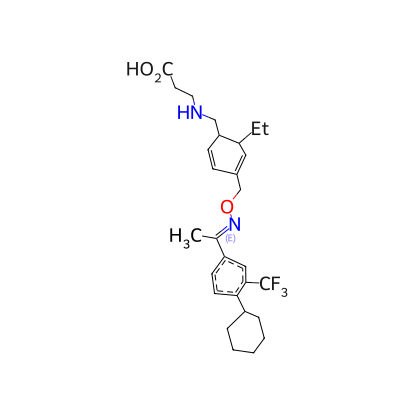 CCC1C=C(CO/N=C(\C)c2ccc(C3CCCCC3)c(C(F)(F)F)c2)C=CC1CNCCC(=O)O